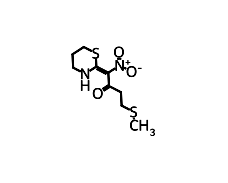 CSCCC(=O)C(=C1NCCCS1)[N+](=O)[O-]